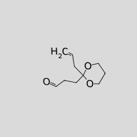 C=CCC1(CCC=O)OCCCO1